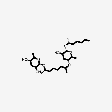 CCCCC[C@@H](C)O[C@@H]1OC(C)[C@H](OC(C)CCCC[C@@H](C)O[C@@H]2OC(C)[C@H](O)CC2O)CC1O